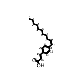 CCCCCCCCC/C=C\c1ccc(/C=C/C(=O)O)cc1